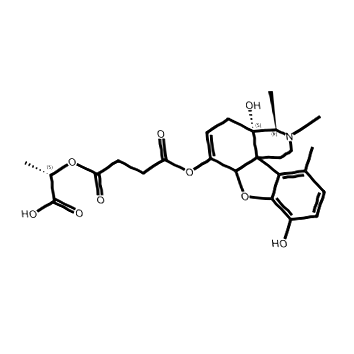 Cc1ccc(O)c2c1C13CCN(C)[C@H](C)[C@]1(O)CC=C(OC(=O)CCC(=O)O[C@@H](C)C(=O)O)C3O2